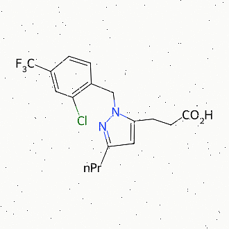 CCCc1cc(CCC(=O)O)n(Cc2ccc(C(F)(F)F)cc2Cl)n1